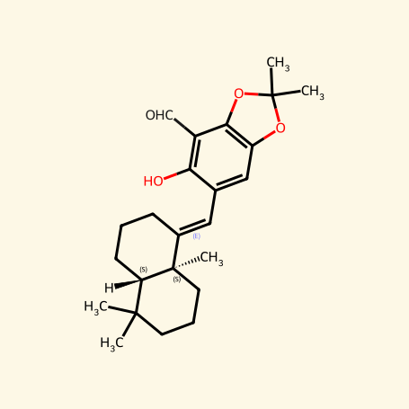 CC1(C)Oc2cc(/C=C3\CCC[C@H]4C(C)(C)CCC[C@]34C)c(O)c(C=O)c2O1